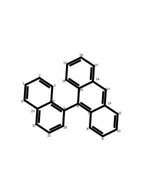 [c]1cccc2c(-c3c4ccccc4[c]c4ccccc34)cccc12